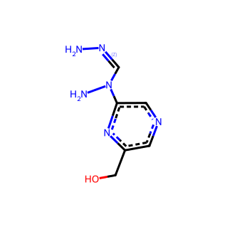 N/N=C\N(N)c1cncc(CO)n1